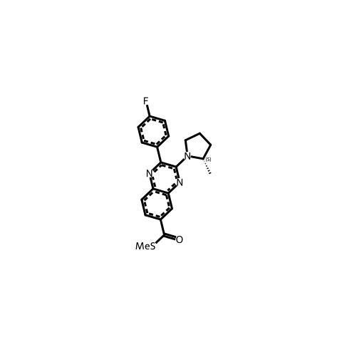 CSC(=O)c1ccc2nc(-c3ccc(F)cc3)c(N3CCC[C@@H]3C)nc2c1